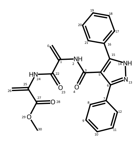 C=C(NC(=O)c1c(-c2ccccc2)n[nH]c1-c1ccccc1)C(=O)NC(=C)C(=O)OC